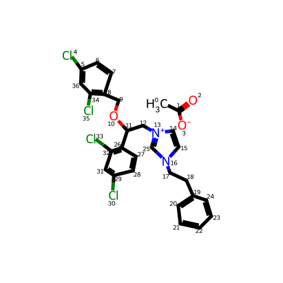 CC(=O)[O-].Clc1ccc(COC(C[n+]2ccn(CCc3ccccc3)c2)c2ccc(Cl)cc2Cl)c(Cl)c1